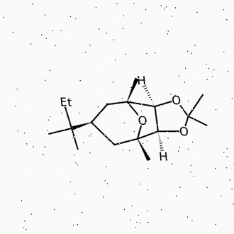 CCC(C)(C)[C@H]1C[C@@]2(C)O[C@@](C)(C1)[C@@H]1OC(C)(C)O[C@@H]12